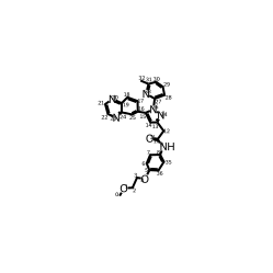 COCCOc1ccc(NC(=O)Cc2cc(-c3ccc4nccnc4c3)n(-c3cccc(C)n3)n2)cc1